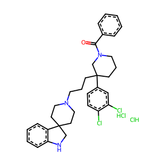 Cl.Cl.O=C(c1ccccc1)N1CCCC(CCCN2CCC3(CC2)CNc2ccccc23)(c2ccc(Cl)c(Cl)c2)C1